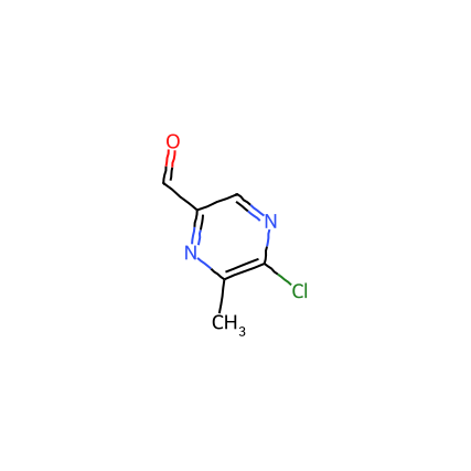 Cc1nc(C=O)cnc1Cl